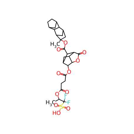 CC(OC(=O)CCC(=O)OC1C2CC3C1OC(=O)C3C2C(=O)OC1(C)CC2CC1C1C3CCC(C3)C21)C(F)(F)S(=O)(=O)O